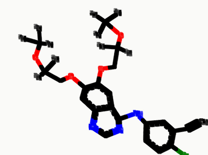 [2H]C([2H])([2H])OC([2H])([2H])COc1cc2ncnc(Nc3ccc(Br)c(C#C)c3)c2cc1OCC([2H])([2H])OC([2H])([2H])[2H]